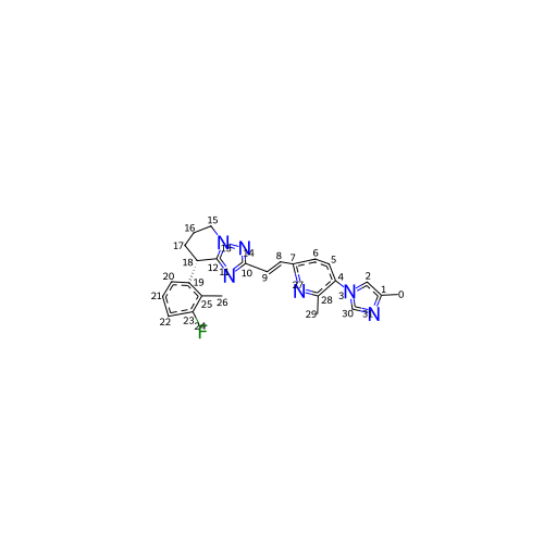 Cc1cn(-c2ccc(/C=C/c3nc4n(n3)CCC[C@H]4c3cccc(F)c3C)nc2C)cn1